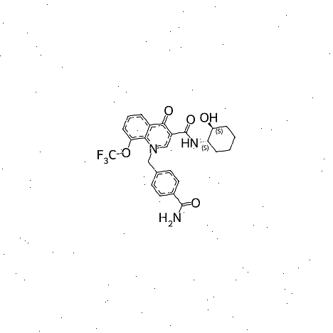 NC(=O)c1ccc(Cn2cc(C(=O)N[C@H]3CCCC[C@@H]3O)c(=O)c3cccc(OC(F)(F)F)c32)cc1